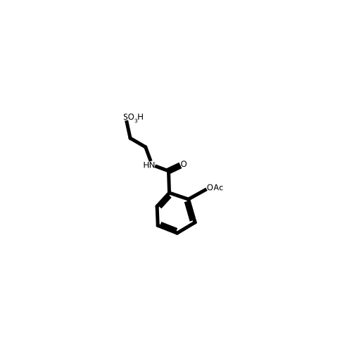 CC(=O)Oc1ccccc1C(=O)NCCS(=O)(=O)O